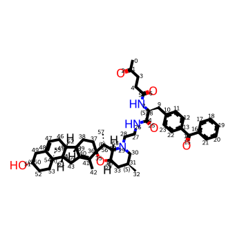 CC(=O)CCC(=O)N[C@@H](Cc1ccc(C(=O)c2ccccc2)cc1)C(=O)NCCN1C[C@@H](C)C[C@H]2OC3(CC[C@@H]4C(=C3C)C[C@H]3[C@H]4CC=C4C[C@@H](O)CC[C@@]43C)[C@H](C)[C@@H]21